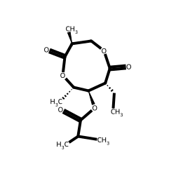 CC[C@H]1C(=O)OC[C@H](C)C(=O)O[C@@H](C)[C@@H]1OC(=O)C(C)C